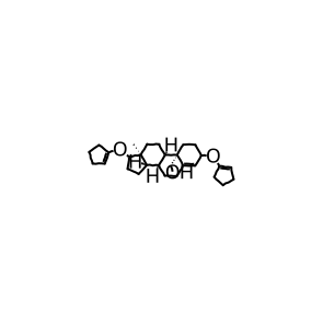 C[C@]12CC[C@@H]3[C@@H](CCC4=CC(OC5=CCCC5)CC[C@@]43CO)[C@@H]1CCC2OC1=CCCC1